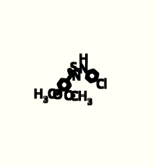 COc1ccc(-c2csc(Nc3ccc(Cl)cc3)n2)cc1OC